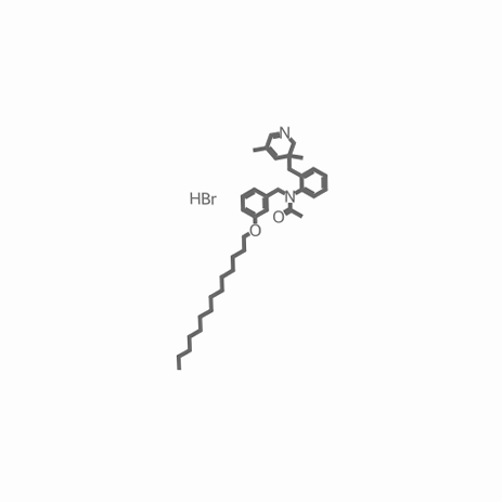 Br.CCCCCCCCCCCCCCOc1cccc(CN(C(C)=O)c2ccccc2CC2(C)C=C(C)C=NC2)c1